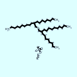 CCCCCCCCCCC(CCCCCCCC)COCC(CCCCCCCC)CCCCCCCCCC.O=P([O-])([O-])[O-].[K+].[K+].[K+]